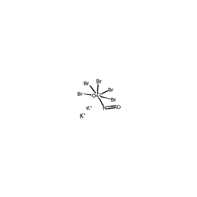 O=[N][Os-2]([Br])([Br])([Br])([Br])[Br].[K+].[K+]